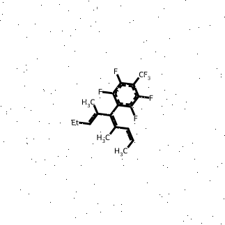 C\C=C/C(C)=C(/C(C)=C/CC)c1c(F)c(F)c(C(F)(F)F)c(F)c1F